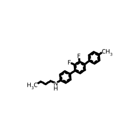 CCCCNc1ccc(-c2ccc(-c3ccc(C)cc3)c(F)c2F)cc1